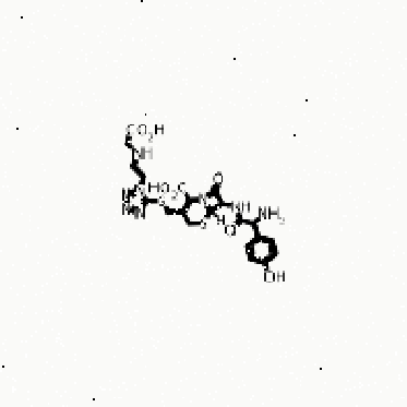 NC(C(=O)NC1C(=O)N2C(C(=O)O)=C(CSc3nnnn3CCNCC(=O)O)CS[C@H]12)c1ccc(O)cc1